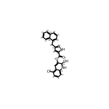 O=C(OC1=Cc2c(Cl)cccc2NC1O)c1cc(Cc2cccc3ccccc23)n[nH]1